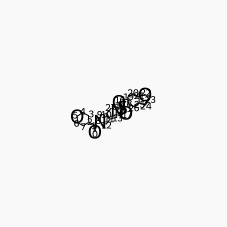 O=C(C1CCOCC1)N1CC2=C(C1)CN(S(=O)(=O)c1ccc3occc3c1)C2